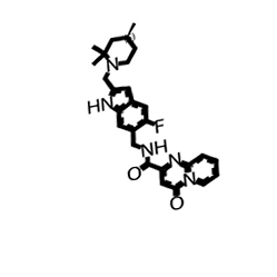 C[C@H]1CCN(Cc2cc3cc(F)c(CNC(=O)c4cc(=O)n5ccccc5n4)cc3[nH]2)C(C)(C)C1